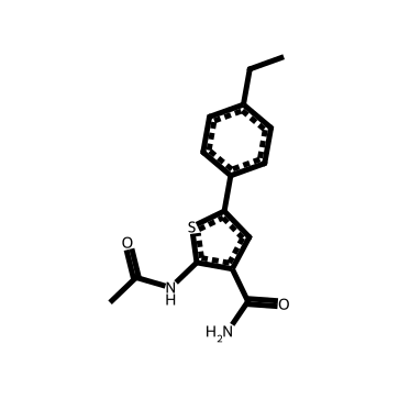 CCc1ccc(-c2cc(C(N)=O)c(NC(C)=O)s2)cc1